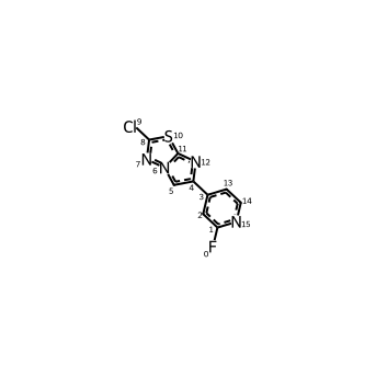 Fc1cc(-c2cn3nc(Cl)sc3n2)ccn1